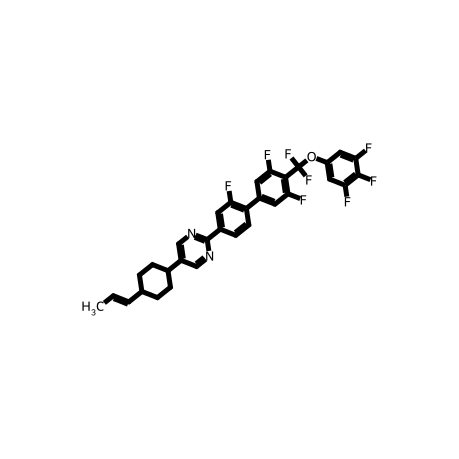 C/C=C/C1CCC(c2cnc(-c3ccc(-c4cc(F)c(C(F)(F)Oc5cc(F)c(F)c(F)c5)c(F)c4)c(F)c3)nc2)CC1